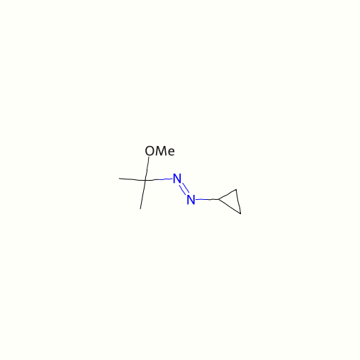 COC(C)(C)N=NC1CC1